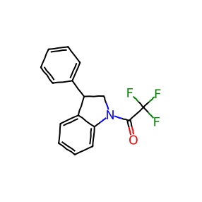 O=C(N1CC(c2ccccc2)c2ccccc21)C(F)(F)F